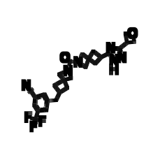 N#Cc1cc(CC2CC3(C2)CN(C(=O)N2CC4(CC(c5nc(C6COC6)n[nH]5)C4)C2)C3)cc(C(F)(F)F)c1